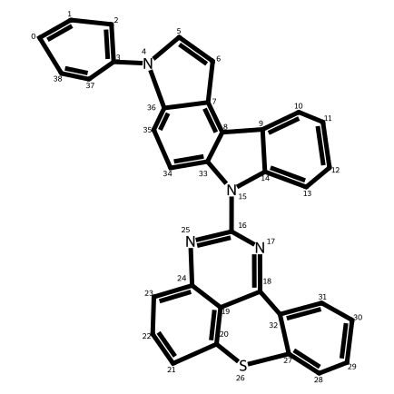 c1ccc(-n2ccc3c4c5ccccc5n(-c5nc6c7c(cccc7n5)Sc5ccccc5-6)c4ccc32)cc1